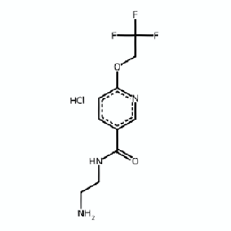 Cl.NCCNC(=O)c1ccc(OCC(F)(F)F)nc1